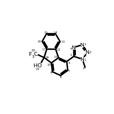 Cn1nnnc1-c1cccc2c1-c1ccccc1C2(O)C(F)(F)F